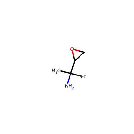 CCC(C)(N)C1CO1